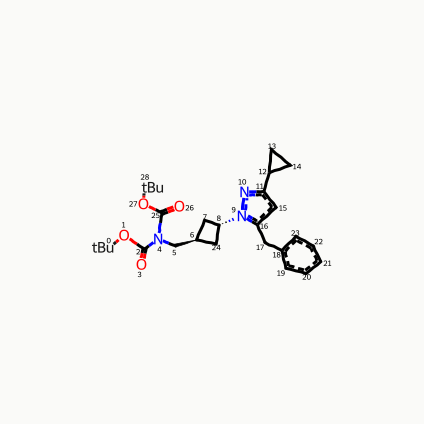 CC(C)(C)OC(=O)N(C[C@H]1C[C@H](n2nc(C3CC3)cc2Cc2ccccc2)C1)C(=O)OC(C)(C)C